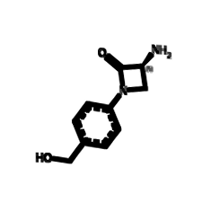 N[C@H]1CN(c2ccc(CO)cc2)C1=O